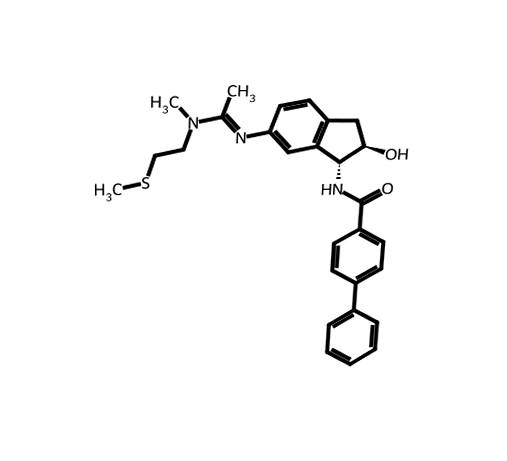 CSCCN(C)/C(C)=N/c1ccc2c(c1)[C@@H](NC(=O)c1ccc(-c3ccccc3)cc1)[C@H](O)C2